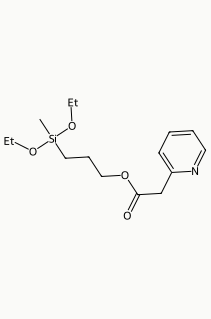 CCO[Si](C)(CCCOC(=O)Cc1ccccn1)OCC